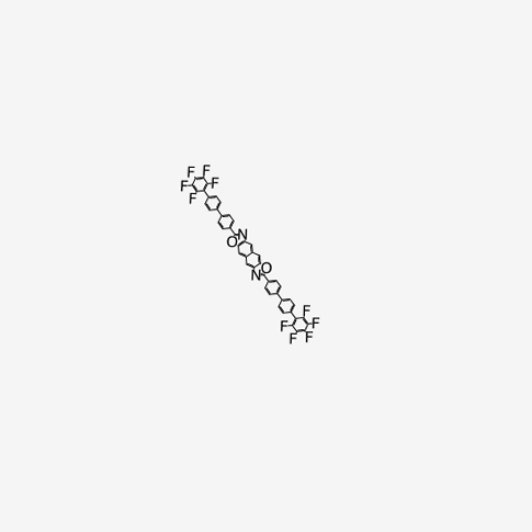 Fc1c(F)c(F)c(-c2ccc(-c3ccc(-c4nc5cc6cc7oc(-c8ccc(-c9ccc(-c%10c(F)c(F)c(F)c(F)c%10F)cc9)cc8)nc7cc6cc5o4)cc3)cc2)c(F)c1F